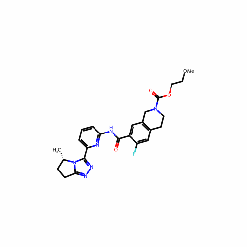 COCCOC(=O)N1CCc2cc(F)c(C(=O)Nc3cccc(-c4nnc5n4[C@@H](C)CC5)n3)cc2C1